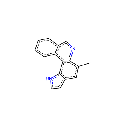 Cc1cc2cc[nH]c2c2c1ncc1ccccc12